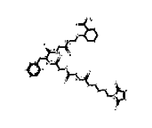 NC(=O)C1CCCCC1OCNC(=O)CNC(=O)C(Cc1ccccc1)NC(=O)COC(=O)CNC(=O)CCCCCN1C(=O)C=CC1=O